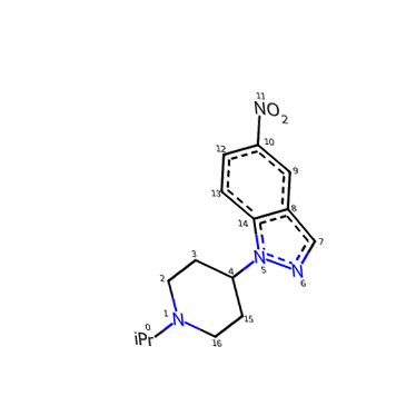 CC(C)N1CCC(n2ncc3cc([N+](=O)[O-])ccc32)CC1